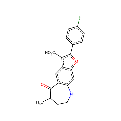 CC1CCNc2cc3oc(-c4ccc(F)cc4)c(C(=O)O)c3cc2C1=O